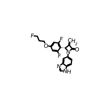 C=C1C(=O)N(c2ccc3[nH]cnc3c2)[C@@H]1c1c(F)cc(OCCCF)cc1F